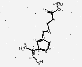 CC(C)(C)OC(=O)CCOCc1cccc(/C(N)=N\O)c1